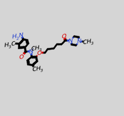 Cc1ccc(N(C)C(=O)c2ccc(N)c(C)c2)c(OCCCCCC(=O)N2CCN(C)CC2)c1